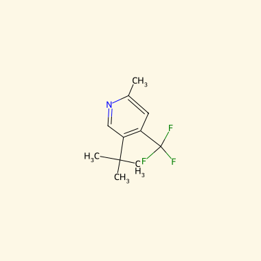 Cc1cc(C(F)(F)F)c(C(C)(C)C)cn1